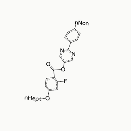 CCCCCCCCCc1ccc(-c2ncc(OC(=O)c3ccc(OCCCCCCC)cc3F)cn2)cc1